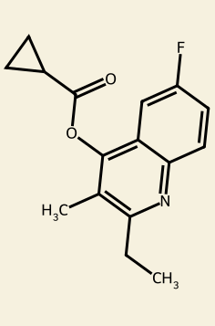 CCc1nc2ccc(F)cc2c(OC(=O)C2CC2)c1C